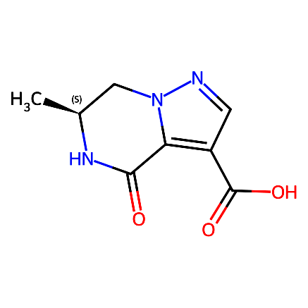 C[C@H]1Cn2ncc(C(=O)O)c2C(=O)N1